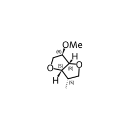 CO[C@@H]1CO[C@@H]2[C@H]1OC[C@@H]2C